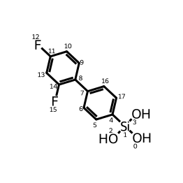 O[Si](O)(O)c1ccc(-c2ccc(F)cc2F)cc1